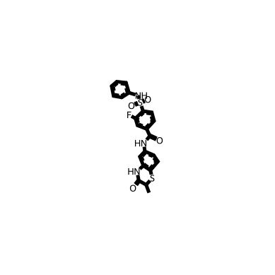 CC1Sc2ccc(NC(=O)c3ccc(S(=O)(=O)Nc4ccccc4)c(F)c3)cc2NC1=O